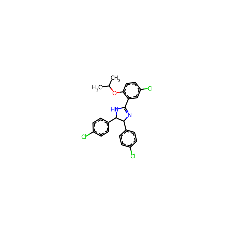 CC(C)Oc1ccc(Cl)cc1C1=NC(c2ccc(Cl)cc2)C(c2ccc(Cl)cc2)N1